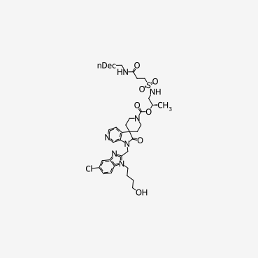 CCCCCCCCCCCNC(=O)CCS(=O)(=O)NC[C@@H](C)OC(=O)N1CCC2(CC1)C(=O)N(Cc1nc3cc(Cl)ccc3n1CCCCO)c1cnccc12